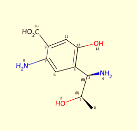 C[C@@H](O)[C@H](N)c1cc(N)c(C(=O)O)cc1O